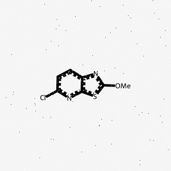 COc1nc2ccc(Cl)nc2s1